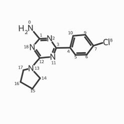 Nc1nc(-c2ccc(Cl)cc2)nc(N2CCCC2)n1